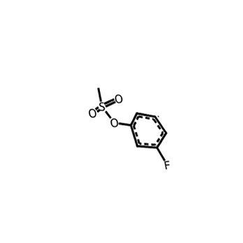 CS(=O)(=O)Oc1c[c]cc(F)c1